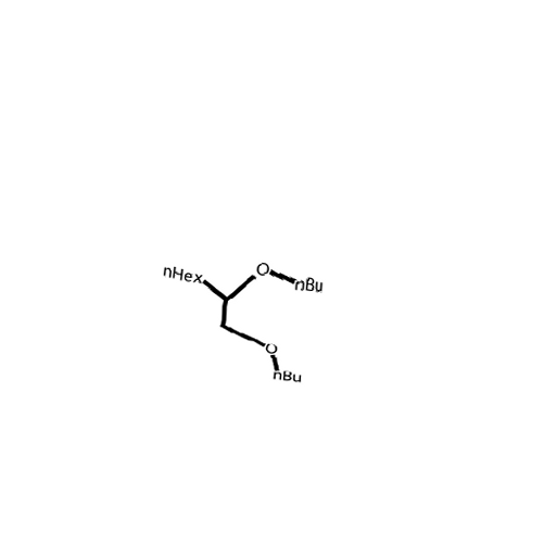 CCCCCCC(COCCCC)OCCCC